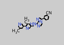 Cc1cncc(-c2ncc(CNc3nccn4c(-c5cccc(C#N)c5)cnc34)cc2C)c1